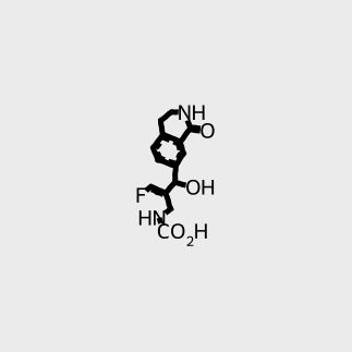 O=C(O)NCC(=CF)C(O)c1ccc2c(c1)C(=O)NCC2